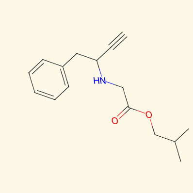 C#CC(Cc1ccccc1)NCC(=O)OCC(C)C